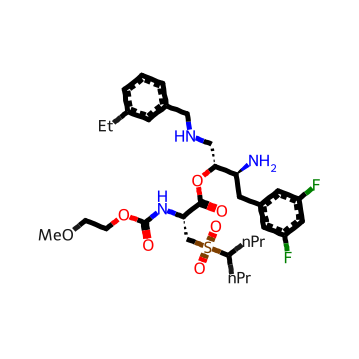 CCCC(CCC)S(=O)(=O)C[C@H](NC(=O)OCCOC)C(=O)O[C@H](CNCc1cccc(CC)c1)[C@@H](N)Cc1cc(F)cc(F)c1